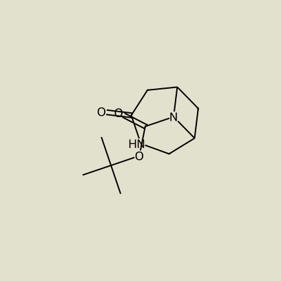 CC(C)(C)OC(=O)N1C2CNC(=O)CC1C2